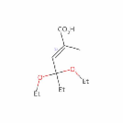 CCOC(/C=C(\C)C(=O)O)(CC)OCC